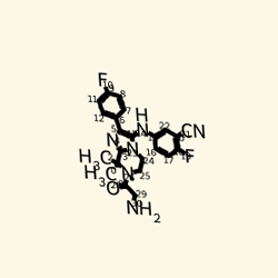 CC1(C)c2nc(-c3ccc(F)cc3)c(Nc3ccc(F)c(C#N)c3)n2CCN1C(=O)CN